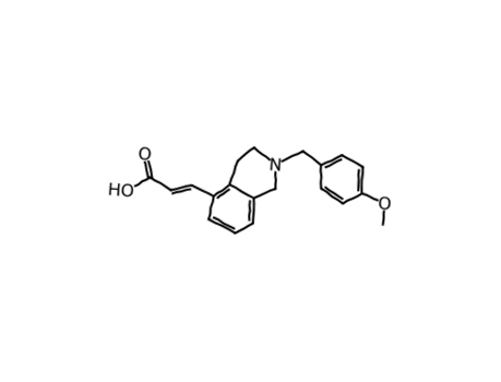 COc1ccc(CN2CCc3c(/C=C/C(=O)O)cccc3C2)cc1